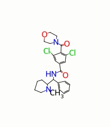 CN1CCCCC1C(NC(=O)c1cc(Cl)c(C(=O)N2CCOCC2)c(Cl)c1)c1ccccc1